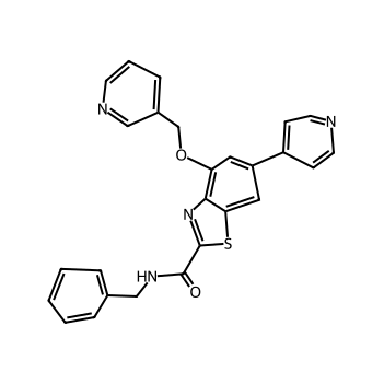 O=C(NCc1ccccc1)c1nc2c(OCc3cccnc3)cc(-c3ccncc3)cc2s1